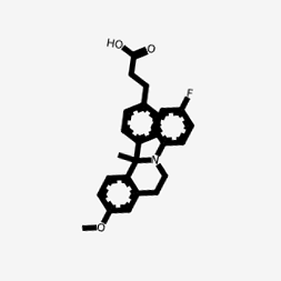 COc1ccc2c(c1)CCN(c1ccc(F)cc1)C2(C)c1ccc(CCC(=O)O)cc1